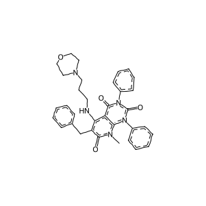 Cn1c(=O)c(Cc2ccccc2)c(NCCCN2CCOCC2)c2c(=O)n(-c3ccccc3)c(=O)n(-c3ccccc3)c21